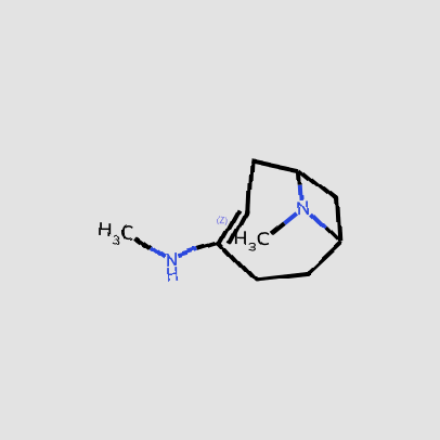 CN/C1=C\CC2CC(CC1)N2C